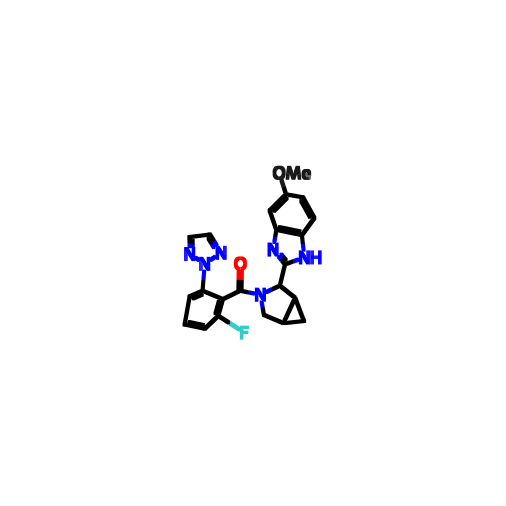 COc1ccc2[nH]c(C3C4CC4CN3C(=O)c3c(F)cccc3-n3nccn3)nc2c1